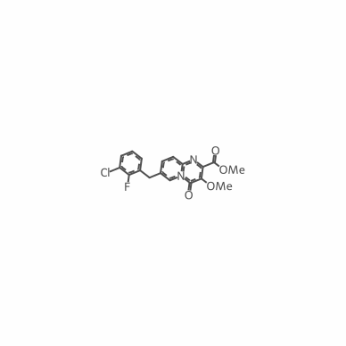 COC(=O)c1nc2ccc(Cc3cccc(Cl)c3F)cn2c(=O)c1OC